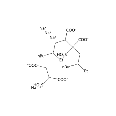 CCCCC(CC)CC(C(=O)[O-])C(CC(CC)CCCC)(C(=O)[O-])S(=O)(=O)O.O=C([O-])CC(C(=O)[O-])S(=O)(=O)O.[Na+].[Na+].[Na+].[Na+]